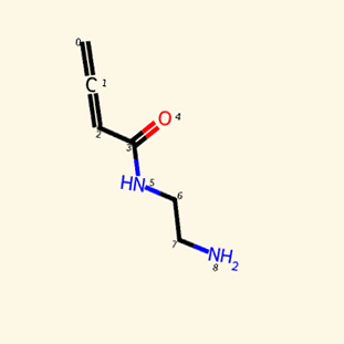 C=C=CC(=O)NCCN